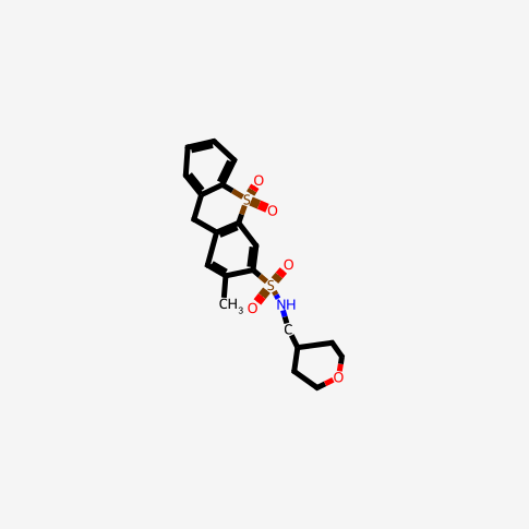 Cc1cc2c(cc1S(=O)(=O)NCC1CCOCC1)S(=O)(=O)c1ccccc1C2